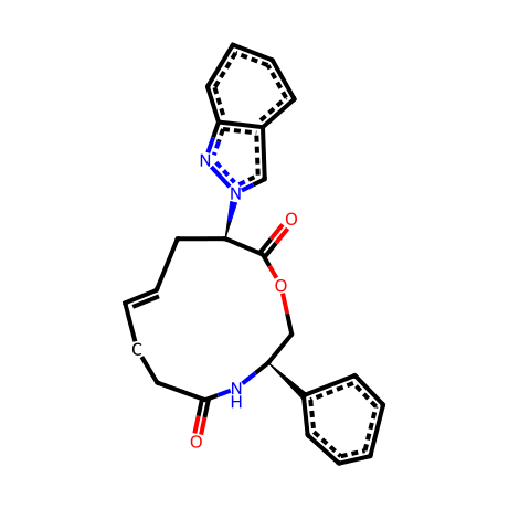 O=C1CC/C=C/C[C@@H](n2cc3ccccc3n2)C(=O)OC[C@@H](c2ccccc2)N1